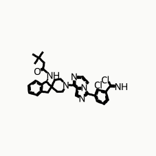 CC(C)(C)CC(=O)N[C@@H]1c2ccccc2CC12CCN(c1nccn3c(-c4cccc(C(=N)Cl)c4Cl)ncc13)CC2